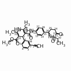 C#Cc1cccc(C2C(C(=O)Nc3ccc(C4=N[N+]([O-])(CC)C(=O)CC4)cc3)=C(C)NC(C)=C2C(=O)OC)c1